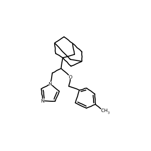 Cc1ccc(COC(Cn2ccnc2)C23CC4CC(CC(C4)C2)C3)cc1